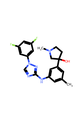 Cc1cc(Nc2ncn(-c3cc(F)cc(F)c3)n2)cc(C2(O)CCN(C)C2)c1